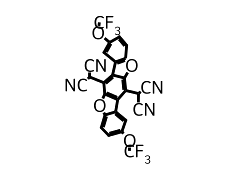 N#CC(C#N)c1c2oc3ccc(OC(F)(F)F)cc3c2c(C(C#N)C#N)c2oc3ccc(OC(F)(F)F)cc3c12